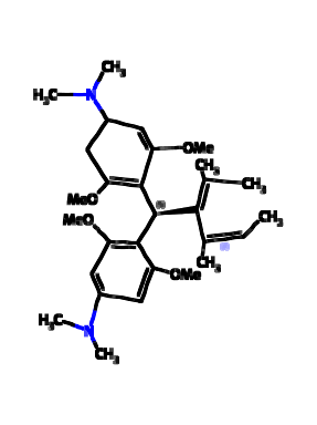 C/C=C(/C)C(=C(C)C)[C@H](C1=C(OC)CC(N(C)C)C=C1OC)c1c(OC)cc(N(C)C)cc1OC